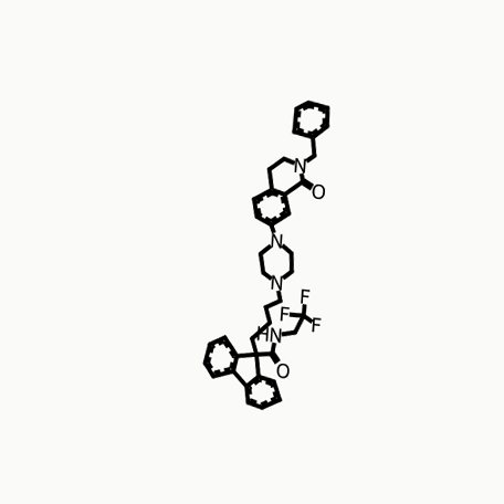 O=C1c2cc(N3CCN(CCCCC4(C(=O)NCC(F)(F)F)c5ccccc5-c5ccccc54)CC3)ccc2CCN1Cc1ccccc1